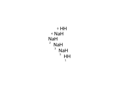 [HH].[HH].[NaH].[NaH].[NaH].[NaH]